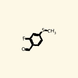 CSc1ccc(C=O)c(F)c1